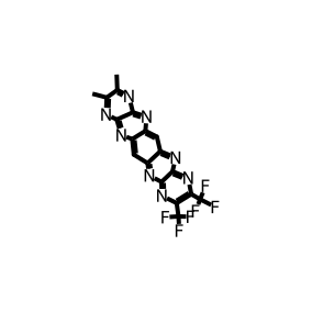 Cc1nc2nc3cc4nc5nc(C(F)(F)F)c(C(F)(F)F)nc5nc4cc3nc2nc1C